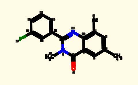 CC(=O)c1cc(C)cc2c(=O)n(C)c(-c3cccc(F)c3)nc12